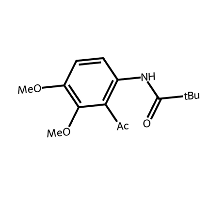 COc1ccc(NC(=O)C(C)(C)C)c(C(C)=O)c1OC